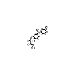 CC(C)OC(=O)C1(Oc2ccc(C(=O)c3cccc(Cl)c3)cc2)CC1